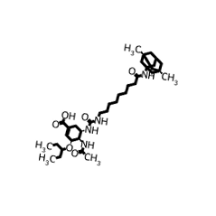 CCC(CC)O[C@@H]1C=C(C(=O)O)C[C@H](NC(=O)NCCCCCCCCC(=O)NC23CC4C[C@@](C)(C2)C[C@](C)(C4)C3)[C@H]1NC(C)=O